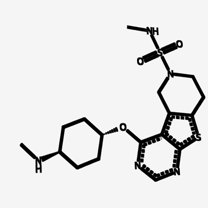 CNS(=O)(=O)N1CCc2sc3ncnc(O[C@H]4CC[C@H](NC)CC4)c3c2C1